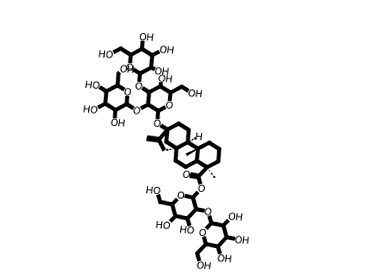 C=C1C[C@@]23CCC4[C@](C)(C(=O)OC5OC(CO)C(O)C(O)C5OC5OC(CO)C(O)C(O)C5O)CCC[C@@]4(C)[C@@H]2CCC1(OC1OC(CO)C(O)C(OC2OC(CO)C(O)C(O)C2O)C1OC1OC(CO)C(O)C(O)C1O)C3